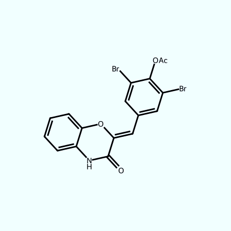 CC(=O)Oc1c(Br)cc(/C=C2\Oc3ccccc3NC2=O)cc1Br